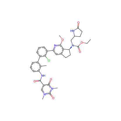 CCOC(=O)N(CC1CCC(=O)N1)[C@H]1CCc2cc(-c3cccc(-c4cccc(NC(=O)c5cn(C)c(=O)n(C)c5=O)c4C)c3Cl)nc(OC)c21